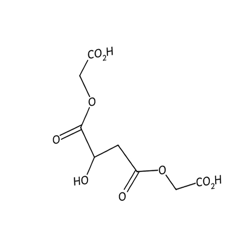 O=C(O)COC(=O)CC(O)C(=O)OCC(=O)O